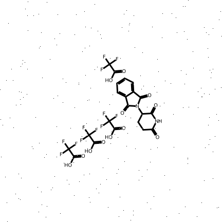 O=C(O)C(F)(F)F.O=C(O)C(F)(F)F.O=C(O)C(F)(F)F.O=C(O)C(F)(F)F.O=C1CCC(N2C(=O)c3ccccc3C2=O)C(=O)N1